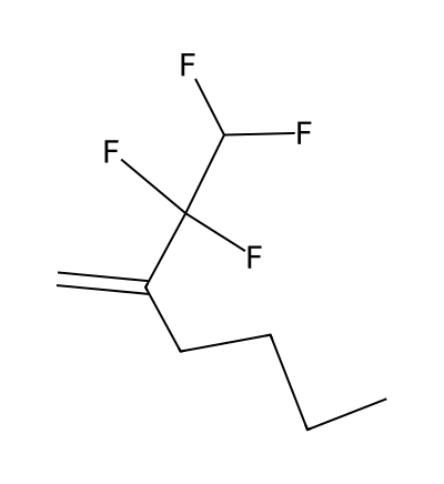 C=C(CCCC)C(F)(F)C(F)F